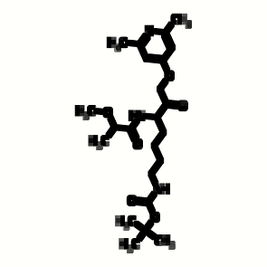 COC(C)C(=O)NC(CCCCNC(=O)OC(C)(C)C)C(=O)COc1cc(C)nc(C)c1